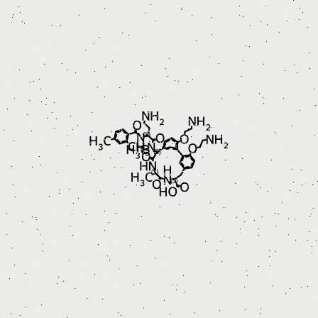 Cc1ccc(C(=O)N[C@@H](CCN)C(=O)N(C)[C@@H]2C(=O)N[C@@H](C)C(=O)N[C@H](C(=O)O)Cc3ccc(OCCN)c(c3)-c3cc2ccc3OCCN)c(C)c1